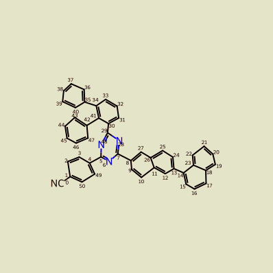 N#Cc1ccc(-c2nc(-c3ccc4cc(-c5cccc6ccccc56)ccc4c3)nc(-c3cccc(-c4ccccc4)c3-c3ccccc3)n2)cc1